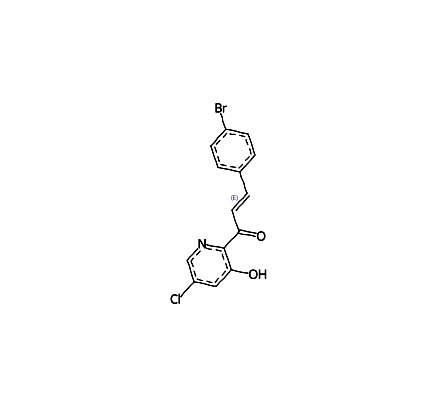 O=C(/C=C/c1ccc(Br)cc1)c1ncc(Cl)cc1O